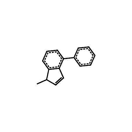 CC1C=Cc2c(-c3ccccc3)cccc21